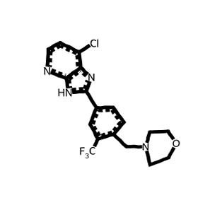 FC(F)(F)c1cc(-c2nc3c(Cl)ccnc3[nH]2)ccc1CN1CCOCC1